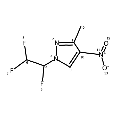 Cc1nn(C(F)C(F)F)cc1[N+](=O)[O-]